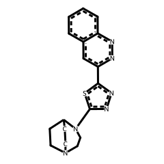 c1ccc2nnc(-c3nnc(N4CCN5CCC4CC5)s3)cc2c1